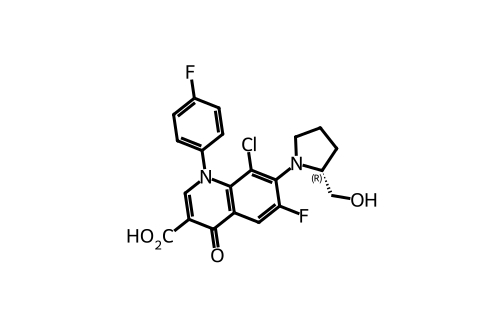 O=C(O)c1cn(-c2ccc(F)cc2)c2c(Cl)c(N3CCC[C@@H]3CO)c(F)cc2c1=O